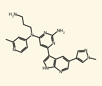 Cc1cc(N(CCCN)c2cc(-c3c[nH]c4ncc(-c5cnn(C)c5)cc34)nc(N)n2)ccn1